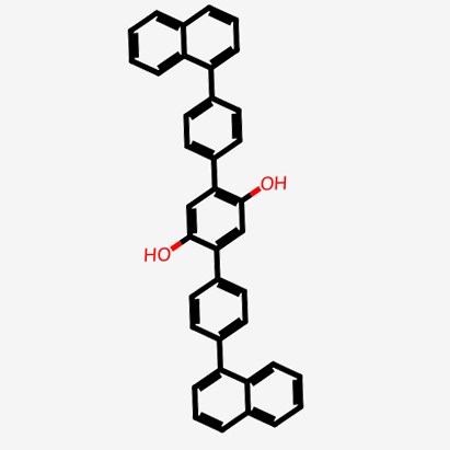 Oc1cc(-c2ccc(-c3cccc4ccccc34)cc2)c(O)cc1-c1ccc(-c2cccc3ccccc23)cc1